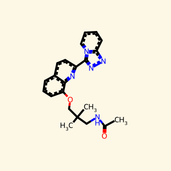 CC(=O)NCC(C)(C)COc1cccc2ccc(-c3nnc4ccccn34)nc12